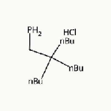 CCCCC(CP)(CCCC)CCCC.Cl